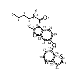 CCCCN(C)C(=O)c1c(C)oc2cc(Oc3ccnc4ccsc34)ccc12